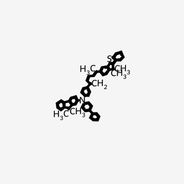 C=C(/C=C\C=C(/C)c1ccc2c(c1)-c1sc3ccccc3c1C2(C)C)c1ccc(N(c2ccc(-c3ccccc3)cc2)c2ccc3c(c2)C(C)(C)c2ccccc2-3)cc1